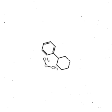 COC.c1ccc(C2CCCCC2)cc1